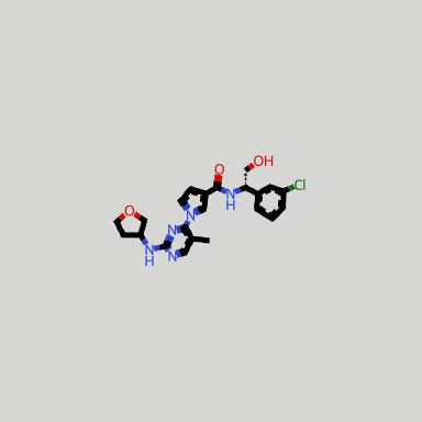 Cc1cnc(NC2CCOC2)nc1-n1ccc(C(=O)N[C@H](CO)c2cccc(Cl)c2)c1